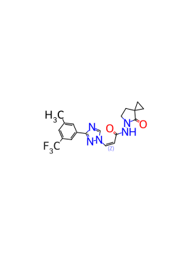 Cc1cc(-c2ncn(/C=C\C(=O)NN3CCC4(CC4)C3=O)n2)cc(C(F)(F)F)c1